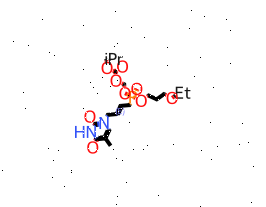 CCOCCCOP(=O)(C/C=C/Cn1cc(C)c(=O)[nH]c1=O)OCOC(=O)OC(C)C